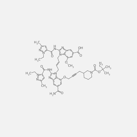 CCn1nc(C)cc1C(=O)Nc1nc2cc(C(=O)O)cc(OC)c2n1C/C=C/Cn1c(NC(=O)c2cc(C)nn2CC)nc2cc(C(N)=O)cc(OCC#CCC3CCCN(C(=O)OC(C)(C)C)C3)c21